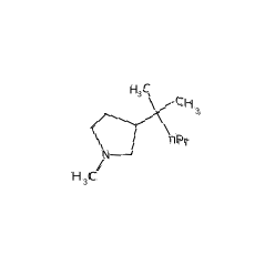 CCCC(C)(C)C1CCN(C)C1